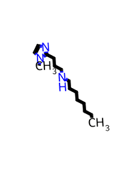 CCCCCCCCNCCCc1nccn1C